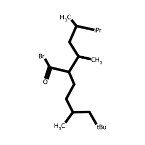 CC(CCC(C(=O)Br)C(C)CC(C)C(C)C)CC(C)(C)C